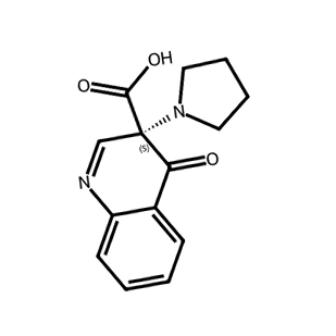 O=C(O)[C@]1(N2CCCC2)C=Nc2ccccc2C1=O